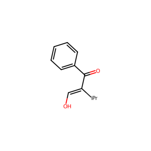 CC(C)C(=CO)C(=O)c1ccccc1